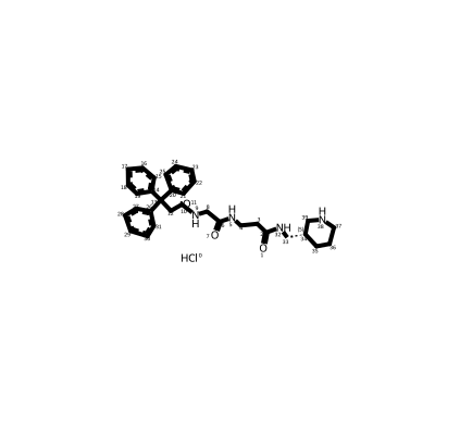 Cl.O=C(CCNC(=O)CNC(=O)CC(c1ccccc1)(c1ccccc1)c1ccccc1)NC[C@H]1CCCNC1